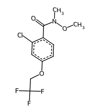 CON(C)C(=O)c1ccc(OCC(F)(F)F)cc1Cl